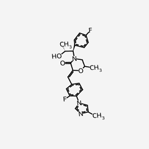 Cc1cn(-c2ccc(C=C3OC(C)CN([C@H](c4ccc(F)cc4)[C@@H](C)O)C3=O)cc2F)cn1